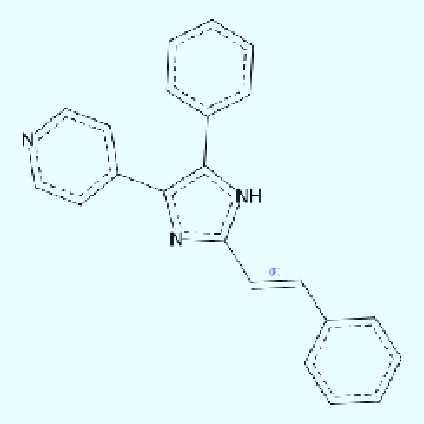 C(=C\c1nc(-c2ccncc2)c(-c2ccccc2)[nH]1)/c1ccccc1